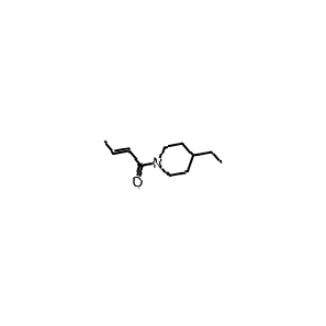 CC=CC(=O)N1CCC(CC)CC1